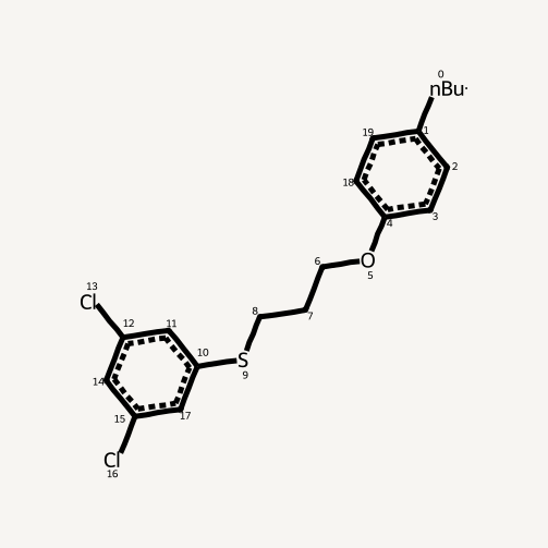 CCC[CH]c1ccc(OCCCSc2cc(Cl)cc(Cl)c2)cc1